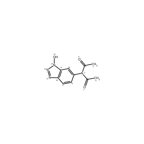 CC(=O)N(C(C)=O)c1ccc2nnn(O)c2c1